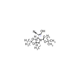 CC[C@@H]1[C@H]2OC(C)(C)O[C@H]2[C@H](/C(C#N)=C/O)N1C(=O)OC(C)(C)C